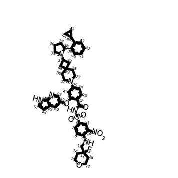 O=C(NS(=O)(=O)c1ccc(NCC2(F)CCOCC2)c([N+](=O)[O-])c1)c1ccc(N2CCC3(CC2)CC(N2CCC[C@H]2c2ccccc2C2CC2)C3)cc1Oc1cnc2[nH]ccc2c1